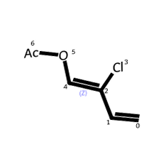 C=C/C(Cl)=C/OC(C)=O